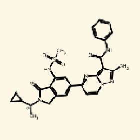 C[C@@H](C1CC1)N1Cc2cc(-c3ccn4nc(N)c(C(=O)Nc5ccccc5)c4n3)cc(NS(C)(=O)=O)c2C1=O